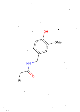 COc1cc(CNC(=O)CC(C)C)ccc1O